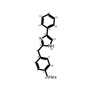 CCCCCCc1ccc(Cc2nc(-c3ccccc3)c[nH]2)cc1